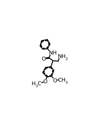 COc1ccc(C(CN)C(=O)Nc2ccccc2)cc1OC